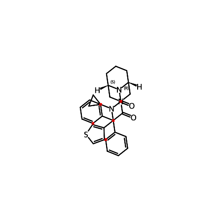 O=C(C(c1ccccc1)c1ccccc1)N1C[C@H]2CCC[C@@H](C1)N2C(=O)N(Cc1ccsc1)C1CC1